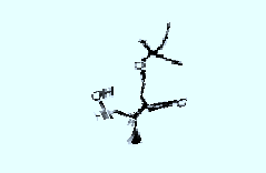 C[C@@H](NO)C(=O)OC(C)(C)C